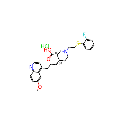 COc1ccc2nccc(CCC[C@@H]3CCN(CCSc4ccccc4F)C[C@@H]3C(=O)O)c2c1.Cl